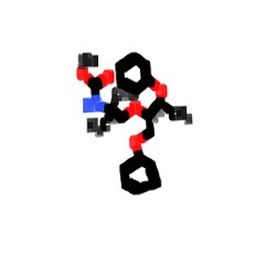 C[C@H](Oc1ccccc1)[C@@H](COc1ccccc1)OC[C@@](C)(C=O)NC(=O)OC(C)(C)C